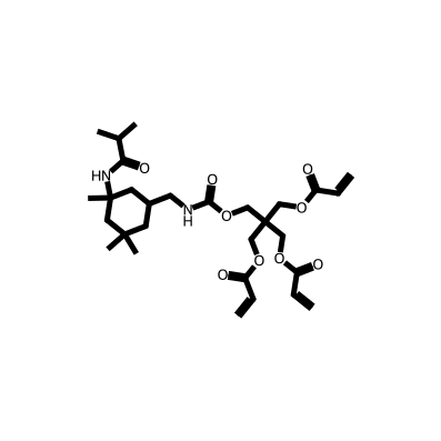 C=CC(=O)OCC(COC(=O)C=C)(COC(=O)C=C)COC(=O)NCC1CC(C)(C)CC(C)(NC(=O)C(C)C)C1